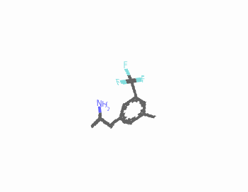 Cc1cc(CC(C)N)cc(C(F)(F)F)c1